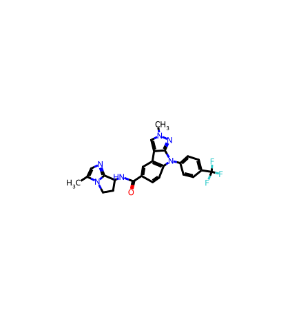 Cc1cnc2n1CCC2NC(=O)c1ccc2c(c1)c1cn(C)nc1n2-c1ccc(C(F)(F)F)cc1